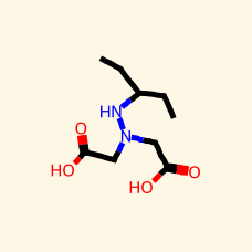 CCC(CC)NN(CC(=O)O)CC(=O)O